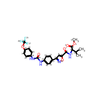 COC(=O)C(NC(=O)c1cc(-c2ccc(NC(=O)Nc3ccc(OC(F)(F)F)cc3)cc2)no1)C(C)C